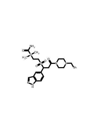 CC(C)CN1CCN(C(=O)[CH]C(c2ccc3[nH]ncc3c2)S(=O)(=O)CC[Si](C)(C)C(N)=O)CC1